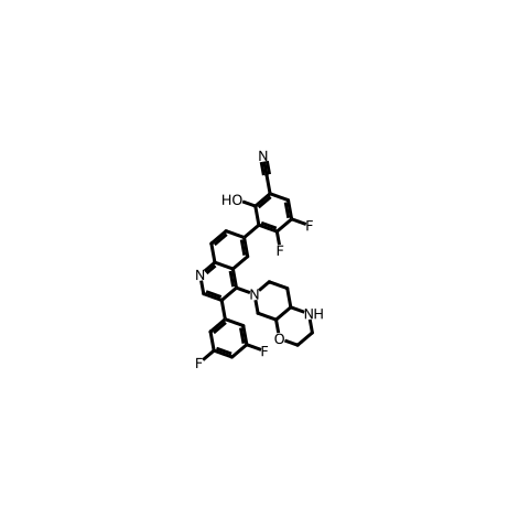 N#Cc1cc(F)c(F)c(-c2ccc3ncc(-c4cc(F)cc(F)c4)c(N4CCC5NCCOC5C4)c3c2)c1O